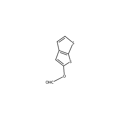 O=COc1cc2ccsc2s1